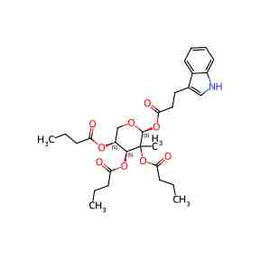 CCCC(=O)O[C@H]1CO[C@@H](OC(=O)CCc2c[nH]c3ccccc23)C(C)(OC(=O)CCC)[C@H]1OC(=O)CCC